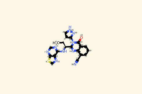 CC[C@H](Nc1ncnc2scnc12)c1nc2c(C#N)cccc2c(=O)n1-c1cc[nH]n1